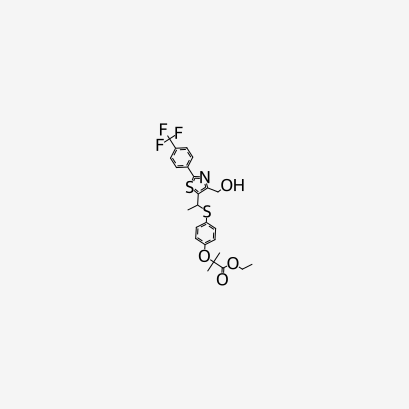 CCOC(=O)C(C)(C)Oc1ccc(SC(C)c2sc(-c3ccc(C(F)(F)F)cc3)nc2CO)cc1